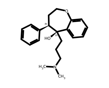 CN(C)CCC[C@@]1(O)c2ccccc2OCC[C@@H]1c1ccccc1